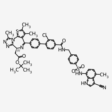 Cc1sc2c(c1C)C(c1ccc(-c3ccc(C(=O)NCc4ccc(S(=O)(=O)Nc5ccc(C)c6c(C#N)c[nH]c56)cc4)cc3Cl)cc1)=N[C@@H](CC(=O)OC(C)(C)C)c1nnc(C)n1-2